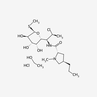 CCC[C@@H]1C[C@@H](C(=O)N[C@@H]([C@H]2O[C@H](SC)[C@H](O)[C@@H](O)[C@H]2O)[C@H](C)Cl)N(C)C1.CCO.Cl